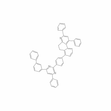 c1ccc(-c2cccc(-c3cc(-c4ccccc4)nc(-c4ccc(-c5cccc6c5CCc5nc(-c7ccccc7)cc(-c7ccccc7)c5-6)cc4)n3)c2)cc1